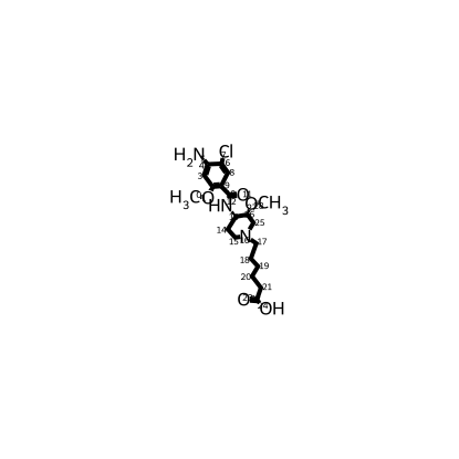 COc1cc(N)c(Cl)cc1C(=O)N[C@@H]1CCN(CCCCCC(=O)O)C[C@@H]1OC